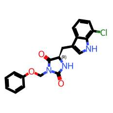 O=C1N[C@H](Cc2c[nH]c3c(Cl)cccc23)C(=O)N1COc1ccccc1